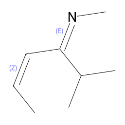 C/C=C\C(=N\C)C(C)C